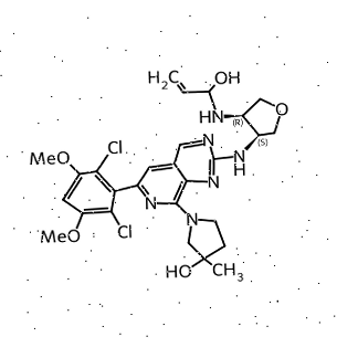 C=CC(O)N[C@H]1COC[C@H]1Nc1ncc2cc(-c3c(Cl)c(OC)cc(OC)c3Cl)nc(N3CCC(C)(O)C3)c2n1